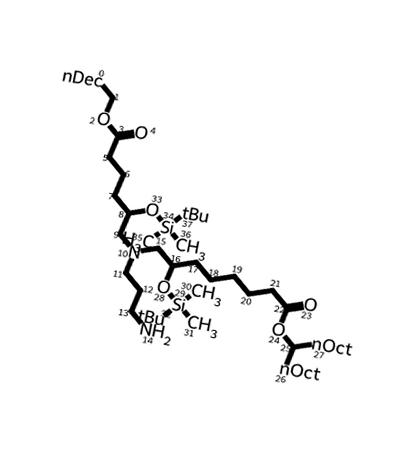 CCCCCCCCCCCOC(=O)CCCC(CN(CCCN)CC(CCCCCC(=O)OC(CCCCCCCC)CCCCCCCC)O[Si](C)(C)C(C)(C)C)O[Si](C)(C)C(C)(C)C